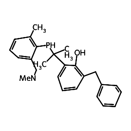 CNCc1cccc(C)c1PC(C)(C)c1cccc(Cc2ccccc2)c1O